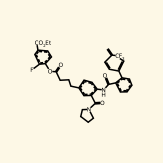 C=C(/C=C\C(=C/C)c1ccccc1C(=O)Nc1ccc(CCCC(=O)Oc2ccc(C(=O)OCC)cc2F)cc1C(=O)N1CCCC1)C(F)(F)F